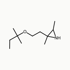 CCC(C)(C)OCCC1(C)NC1C